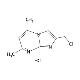 Cc1cc(C)n2cc(CCl)nc2n1.Cl